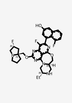 CC[C@@H]1CN2c3nc(OC[C@@]45CCCN4C[C@H](F)C5)nc4c(F)c(-c5cc(O)cc6cccc(F)c56)nc(c34)OC[C@H]2CN1